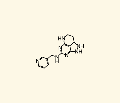 c1cncc(CNc2nc3c4c(n2)NNC4CCN3)c1